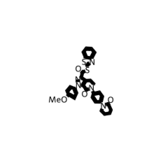 COc1ccc(-n2nc(C(=O)Sc3nc4ccccc4s3)c3c2C(=O)N(c2ccc(N4CCCCC4=O)cc2)CC3)cc1